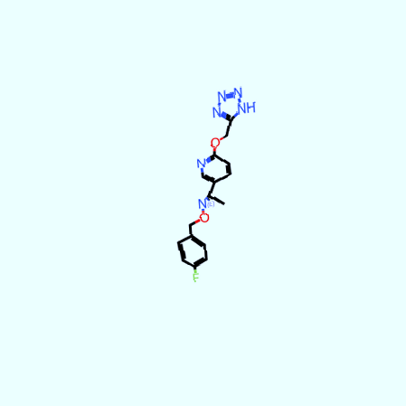 C/C(=N\OCc1ccc(F)cc1)c1ccc(OCc2nnn[nH]2)nc1